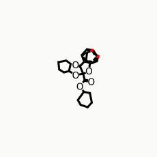 O=C(OC1CCCCC1)C(OC1CCCCC1)(OC1CCCCC1)C(=O)c1ccccc1